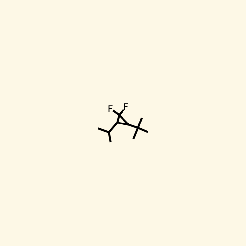 CC(C)C1C(C(C)(C)C)C1(F)F